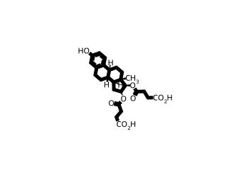 C[C@]12CC[C@@H]3c4ccc(O)cc4CC[C@H]3[C@@H]1C[C@@H](OC(=O)CCC(=O)O)[C@@H]2OC(=O)CCC(=O)O